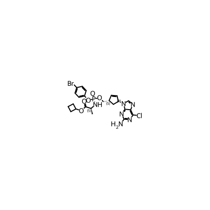 C[C@H](NP(=O)(OC[C@@H]1C=C[C@H](n2cnc3c(Cl)nc(N)nc32)C1)Oc1ccc(Br)cc1)C(=O)OC1CCC1